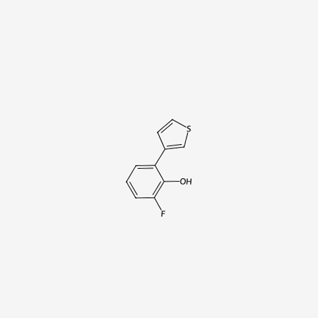 Oc1c(F)cccc1-c1ccsc1